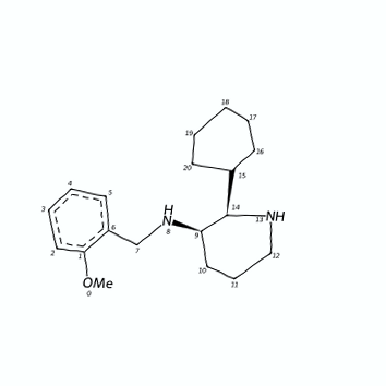 COc1ccccc1CN[C@@H]1CCCN[C@@H]1C1CCCCC1